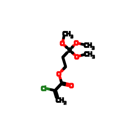 C=C(Cl)C(=O)OCC[Si](OC)(OC)OC